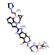 C[C@@H](Cn1ccnc1)Oc1cccc2cc(-c3nc4cc5c(cc4n3C)CCN(C[C@@H](CF)NC(=O)OC(C)(C)C)C5=O)n(CC3CC3)c12